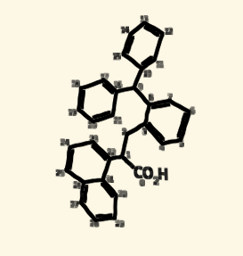 O=C(O)C(Cc1ccccc1C(c1ccccc1)c1ccccc1)c1cccc2ccccc12